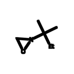 CCC(C)(C)N1CO1